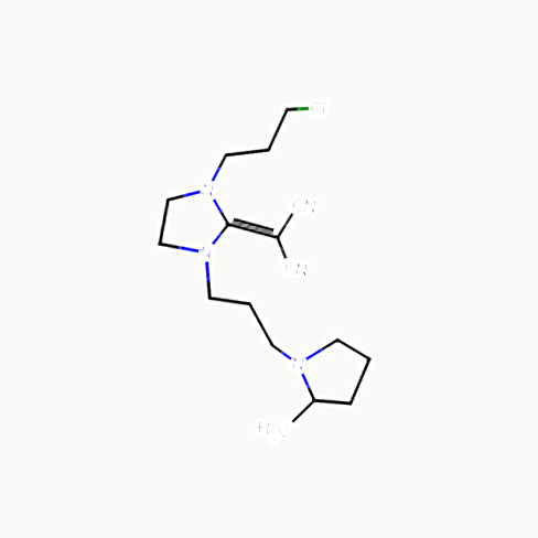 CC1CCCN1CCCN1CCN(CCCCl)C1=C(C#N)C#N